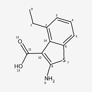 CCc1cccc2sc(N)c(C(=O)O)c12